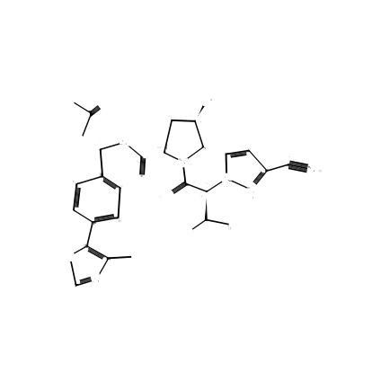 Cc1ncsc1-c1ccc([C@H](CC(=O)O)NC(=O)[C@@H]2C[C@@H](O)CN2C(=O)[C@H](C(C)C)n2ccc(C#N)n2)cc1